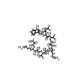 CNC(=O)NC[C@H](CCCCN)NC(=O)NC[C@@H](NC(=O)NC[C@H](CCCCN)NC(=O)NC[C@@H](NC(=O)CC[C@H](Cc1c[nH]c2ccccc12)NC(=O)NC(C)C)C(C)C)C(C)C